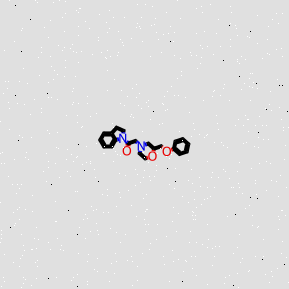 O=C(CN1CCOC(COc2ccccc2)C1)N1CCc2ccccc21